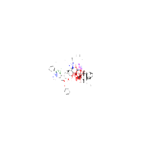 C=CCN(CC=C)[C@@H]1c2onc(OCc3ccccc3)c2C(=O)[C@@]2(O[Si](C)(C)C(C)(C)C)C(O)=C3C(=O)c4c(OCc5ccccc5)cc(C5CCCN5Cc5ccccc5)c(C(F)(F)F)c4C[C@H]3C[C@@H]12